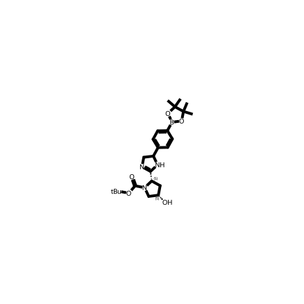 CC(C)(C)OC(=O)N1C[C@@H](O)C[C@H]1C1=NCC(c2ccc(B3OC(C)(C)C(C)(C)O3)cc2)N1